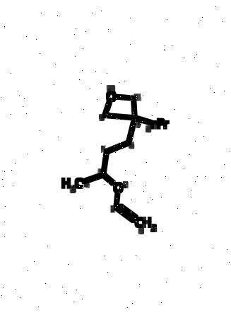 C=COC(C)CCC1(CCC)COC1